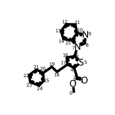 COC(=O)c1sc(-n2cnc3ccccc32)cc1CCc1ccccc1